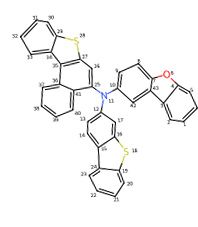 c1ccc2c(c1)oc1ccc(N(c3ccc4c(c3)sc3ccccc34)c3cc4sc5ccccc5c4c4ccccc34)cc12